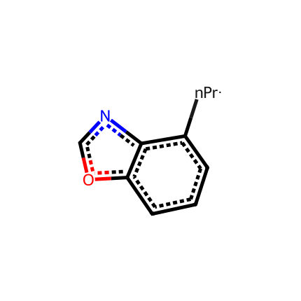 CC[CH]c1cccc2ocnc12